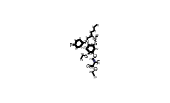 CCCCC1CN(c2ccc(F)cc2)c2cc(SCC)c(O/C=C(\F)C(=O)OCC)cc2SN1C